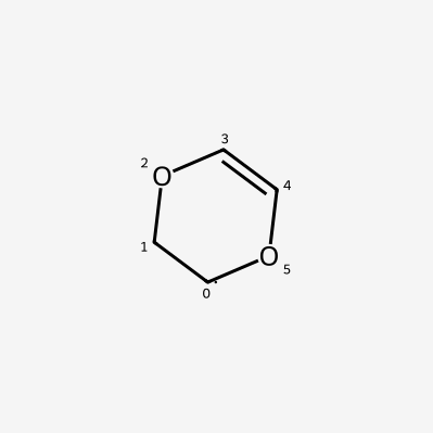 [CH]1COC=CO1